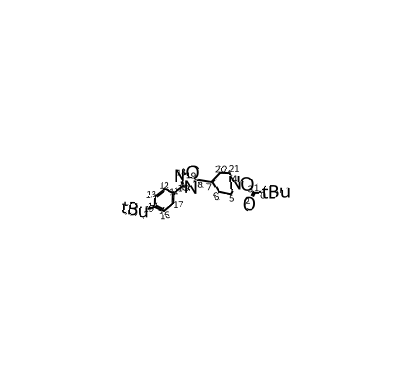 CC(C)(C)C(=O)ON1CCC(c2nc(-c3ccc(C(C)(C)C)cc3)no2)CC1